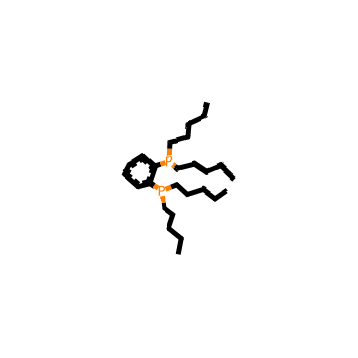 CCCCCP(CCCCC)c1ccccc1P(CCCCC)CCCCC